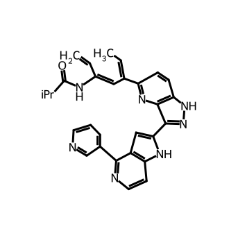 C=C/C(=C\C(=C/C)c1ccc2[nH]nc(-c3cc4c(-c5cccnc5)nccc4[nH]3)c2n1)NC(=O)C(C)C